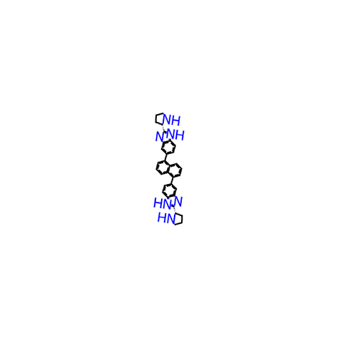 c1cc(-c2ccc3[nH]c([C@@H]4CCCN4)nc3c2)c2cccc(-c3ccc4[nH]c([C@@H]5CCCN5)nc4c3)c2c1